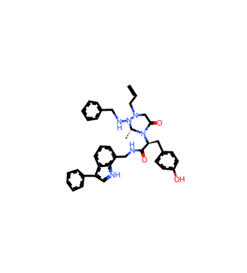 C=CCN1CC(=O)N([C@@H](Cc2ccc(O)cc2)C(=O)NCc2cccc3c(-c4ccccc4)c[nH]c23)[C@H](C)N1NCc1ccccc1